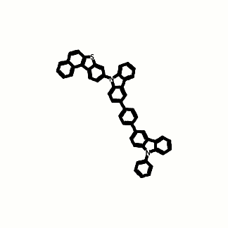 c1ccc(-n2c3ccccc3c3cc(-c4ccc(-c5ccc6c(c5)c5ccccc5n6-c5ccc6c(c5)sc5ccc7ccccc7c56)cc4)ccc32)cc1